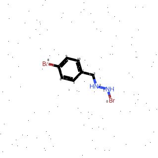 BrNNCc1ccc(Br)cc1